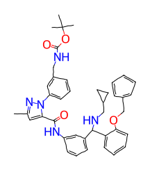 Cc1cc(C(=O)Nc2cccc(C(NCC3CC3)c3ccccc3OCc3ccccc3)c2)n(-c2cccc(CNC(=O)OC(C)(C)C)c2)n1